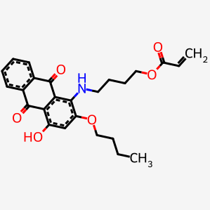 C=CC(=O)OCCCCNc1c(OCCCC)cc(O)c2c1C(=O)c1ccccc1C2=O